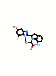 CCC1C(=O)Nc2cccc3cc(-c4nc5cc(Br)cc(F)c5n4C)n1c23